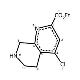 CCOC(=O)c1cc(Cl)c2c(n1)CNCC2